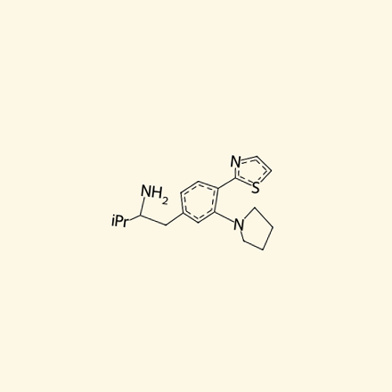 CC(C)C(N)Cc1ccc(-c2nccs2)c(N2CCCC2)c1